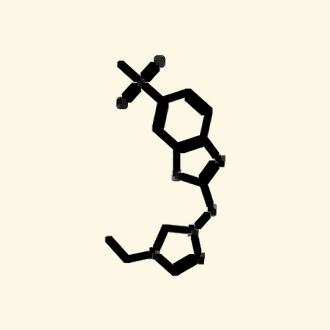 CCN1C=NN(Sc2nc3ccc(S(C)(=O)=O)cc3s2)C1